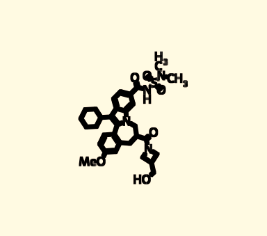 COc1ccc2c(c1)CC(C(=O)N1CC(CO)C1)Cn1c-2c(C2CCCCC2)c2ccc(C(=O)NS(=O)(=O)N(C)C)cc21